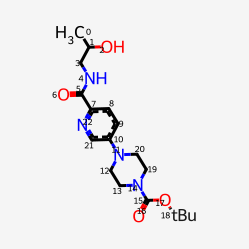 CC(O)CNC(=O)c1ccc(N2CCN(C(=O)OC(C)(C)C)CC2)cn1